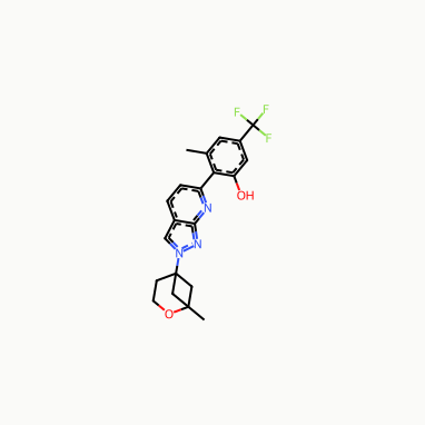 Cc1cc(C(F)(F)F)cc(O)c1-c1ccc2cn(C34CCOC(C)(C3)C4)nc2n1